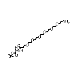 CC(C)(C)OC(=O)NNC(=O)CCOCCOCCOCCOCCOCCOCCN